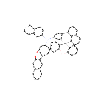 c1ccc2c(c1)Oc1ccccc1C21c2cc(N(c3ccc4ccccc4c3)c3ccc4c(c3)oc3cc5ccccc5cc34)ccc2-c2cccc3cccc1c23